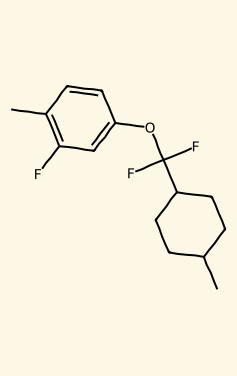 Cc1ccc(OC(F)(F)C2CCC(C)CC2)cc1F